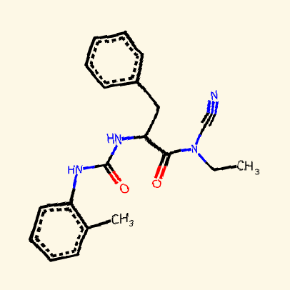 CCN(C#N)C(=O)C(Cc1ccccc1)NC(=O)Nc1ccccc1C